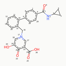 O=C(NC1CC1)c1ccc(-c2ccccc2Cn2cc(O)c(=O)c(C(=O)O)c2)cc1